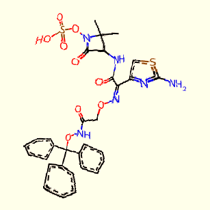 CC1(C)C(NC(=O)/C(=N\OCC(=O)NOC(c2ccccc2)(c2ccccc2)c2ccccc2)c2csc(N)n2)C(=O)N1OS(=O)(=O)O